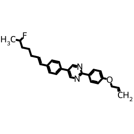 C=CCOc1ccc(-c2ncc(-c3ccc(C=CCCCC(C)F)cc3)cn2)cc1